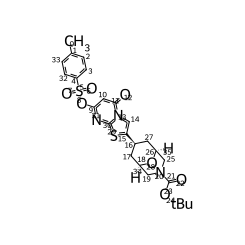 Cc1ccc(S(=O)(=O)Oc2cc(=O)n3cc([C@@H]4C[C@@H]5CN(C(=O)OC(C)(C)C)C[C@H](C4)O5)sc3n2)cc1